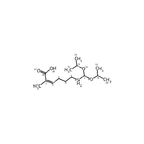 CC(=CCCC[SiH2]C(OC(C)C)OC(C)C)C(=O)O